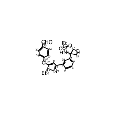 CCn1nc(-c2cccc(C3(NS(=O)(=O)CC)COC3)c2)cc1Oc1ccc(C=O)cc1